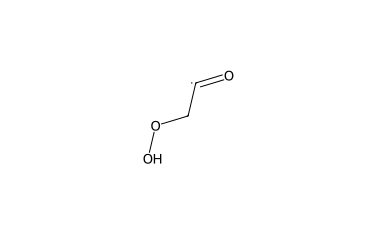 O=[C]COO